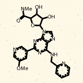 CNC(=O)C1OC(n2cnc3c(NCc4ccccn4)nc(-c4cncc(OC)c4)nc32)C(O)C1O